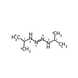 CC(C)NN=NNC(C)C